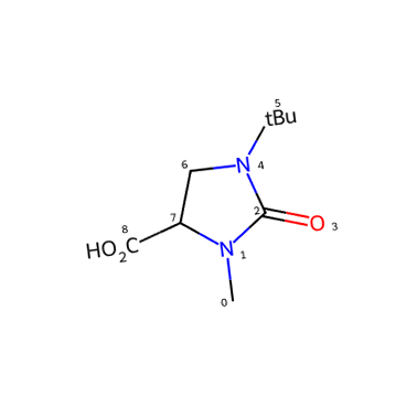 CN1C(=O)N(C(C)(C)C)CC1C(=O)O